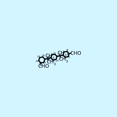 CC(C)(C1CCC(C=O)CC1)C1CCC(C(C)(C)C2CCCC(C=O)C2)CC1